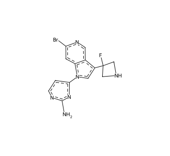 Nc1nccc(-n2cc(C3(F)CNC3)c3cnc(Br)cc32)n1